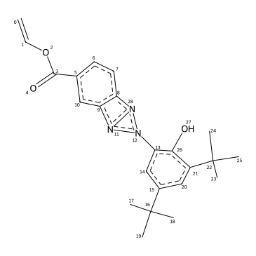 C=COC(=O)c1ccc2c(c1)n1n(-c3cc(C(C)(C)C)cc(C(C)(C)C)c3O)n21